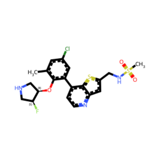 Cc1cc(Cl)cc(-c2ccnc3cc(CNS(C)(=O)=O)sc23)c1O[C@@H]1CNC[C@@H]1F